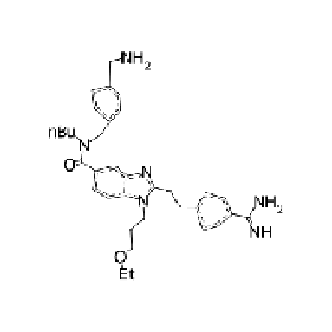 CCCCN(Cc1ccc(CN)cc1)C(=O)c1ccc2c(c1)nc(CCc1ccc(C(=N)N)cc1)n2CCCOCC